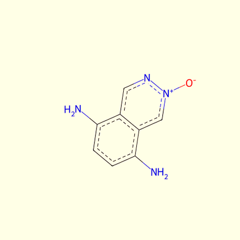 Nc1ccc(N)c2c[n+]([O-])ncc12